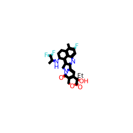 CC[C@@]1(O)C(=O)OCc2c1cc1n(c2=O)Cc2c-1nc1cc(F)c(C)c3c1c2[C@@H](NC(C)C(F)F)CC3